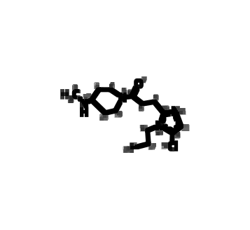 CNC1CCN(C(=O)CCc2ncc(Cl)n2CCF)CC1